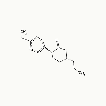 CCC[C@@H]1CC[C@@H](c2ccc(CC)cc2)C(=O)C1